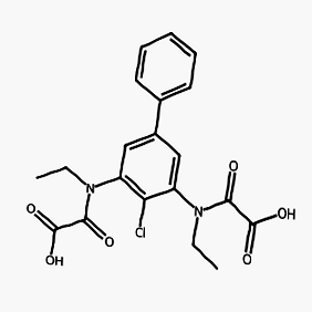 CCN(C(=O)C(=O)O)c1cc(-c2ccccc2)cc(N(CC)C(=O)C(=O)O)c1Cl